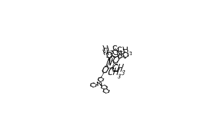 CC1(C)c2cc(-c3ccc(N(c4ccccc4)c4ccc5ccccc5c4)cc3)ccc2-n2c3ccccc3c3c2c1cc1c2ccccc2n(C(C)(C)C)c13